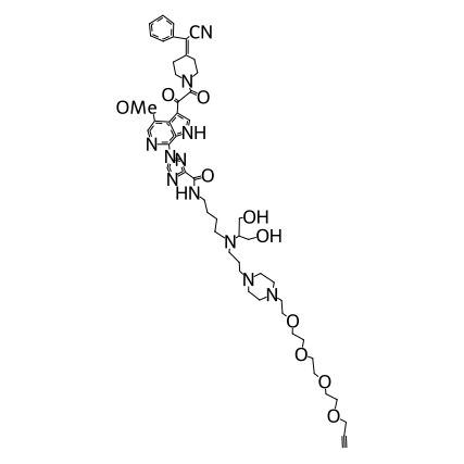 C#CCOCCOCCOCCOCCN1CCN(CCCN(CCCCNC(=O)c2ncn(-c3ncc(OC)c4c(C(=O)C(=O)N5CCC(=C(C#N)c6ccccc6)CC5)c[nH]c34)n2)C(CO)CO)CC1